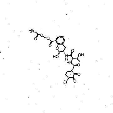 CCN1CCN(C(=O)NC(C(=O)N[C@H]2Cc3cccc(C(=O)OCOC(=O)C(C)(C)C)c3OB2O)C(C)O)C(=O)C1=O